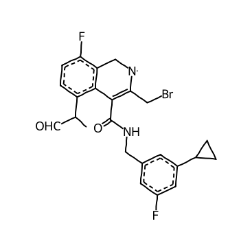 CC(C=O)c1ccc(F)c2c1C(C(=O)NCc1cc(F)cc(C3CC3)c1)=C(CBr)[N]C2